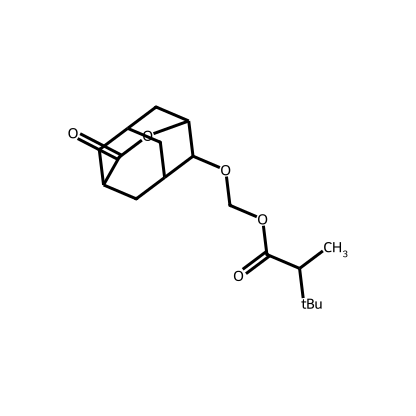 CC(C(=O)OCOC1C2CC3CC(C2)C(=O)OC1C3)C(C)(C)C